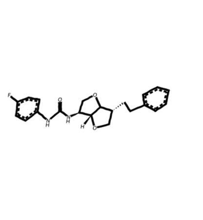 O=C(Nc1ccc(F)cc1)N[C@H]1COC2[C@H](CCc3ccccc3)CO[C@@H]21